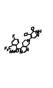 COC(c1ccc(F)cc1C(F)(F)F)c1ncnc2c1CCN(c1cn[nH]c(=O)c1Cl)C2